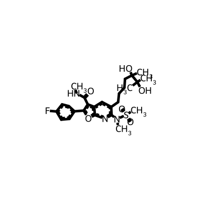 CNC(=O)c1c(-c2ccc(F)cc2)oc2nc(N(C)S(C)(=O)=O)c(CCCCC(C)(O)C(C)(C)O)cc12